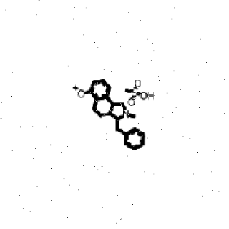 COc1cccc2c1CCC1C2CN(C)C1Cc1ccccc1.CS(=O)(=O)O